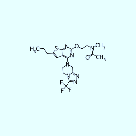 CCCc1cc2c(N3CCn4c(nnc4C(F)(F)F)C3)nc(OCCN(C)C(C)=O)nc2s1